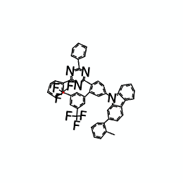 Cc1ccccc1-c1ccc2c3ccccc3n(-c3ccc(-c4nc(-c5ccccc5)nc(-c5ccccc5)n4)c(-c4cc(C(F)(F)F)cc(C(F)(F)F)c4)c3)c2c1